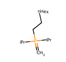 C=P(CCCCCCCC)(C(C)C)C(C)C